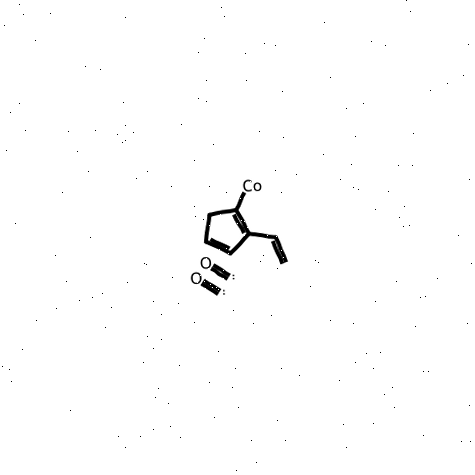 C=CC1=[C]([Co])CC=C1.[C]=O.[C]=O